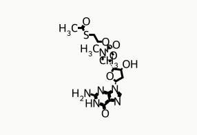 CC(=O)SCCOP(=O)(OC[C@H]1O[C@@H](n2cnc3c(=O)[nH]c(N)nc32)C[C@@H]1O)N(C)C